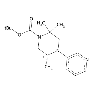 C[C@@H]1CN(C(=O)OC(C)(C)C)C(C)(C)CN1c1cccnc1